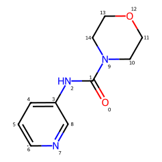 O=C(Nc1cc[c]nc1)N1CCOCC1